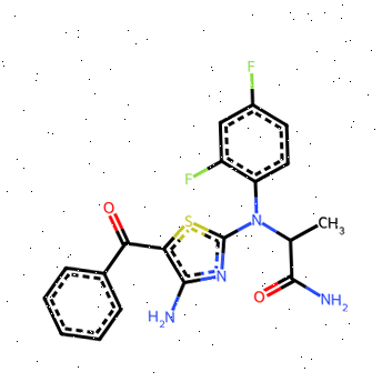 CC(C(N)=O)N(c1nc(N)c(C(=O)c2ccccc2)s1)c1ccc(F)cc1F